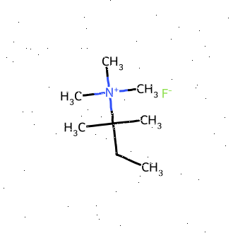 CCC(C)(C)[N+](C)(C)C.[F-]